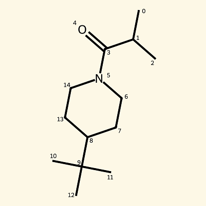 CC(C)C(=O)N1CCC(C(C)(C)C)CC1